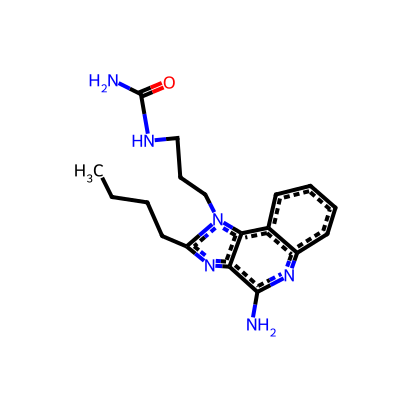 CCCCc1nc2c(N)nc3ccccc3c2n1CCCNC(N)=O